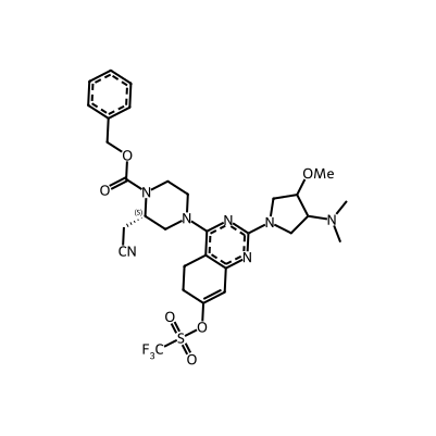 COC1CN(c2nc3c(c(N4CCN(C(=O)OCc5ccccc5)[C@@H](CC#N)C4)n2)CCC(OS(=O)(=O)C(F)(F)F)=C3)CC1N(C)C